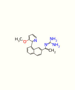 C=C(N=C(N)N)c1ccc2cccc(-c3ncccc3OC)c2c1